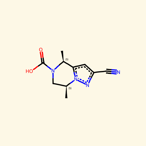 C[C@H]1c2cc(C#N)nn2[C@@H](C)CN1C(=O)O